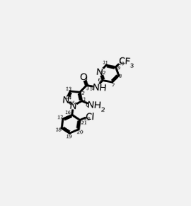 Nc1c(C(=O)Nc2ccc(C(F)(F)F)cn2)cnn1-c1ccccc1Cl